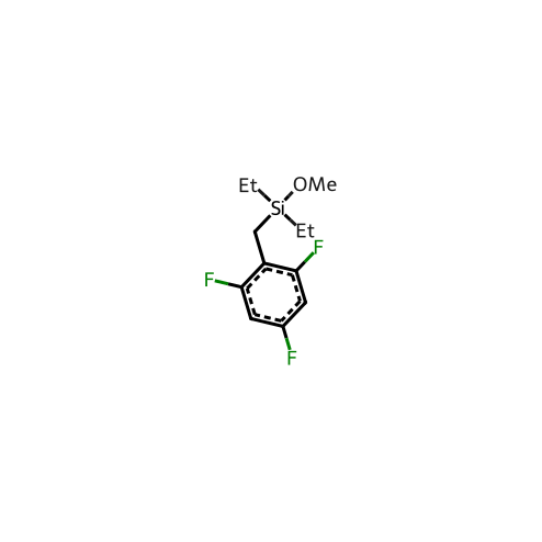 CC[Si](CC)(Cc1c(F)cc(F)cc1F)OC